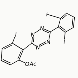 CC(=O)Oc1cccc(I)c1-c1nnc(-c2c(I)cccc2I)nn1